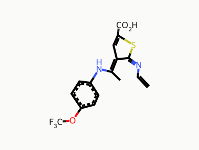 C=C/N=C1/SC(C(=O)O)=C/C1=C(/C)Nc1ccc(OC(F)(F)F)cc1